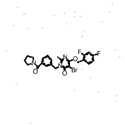 Cc1nc(OCc2ccc(F)cc2F)c(Br)c(=O)n1Cc1cccc(C(=O)N2CCCC2)c1